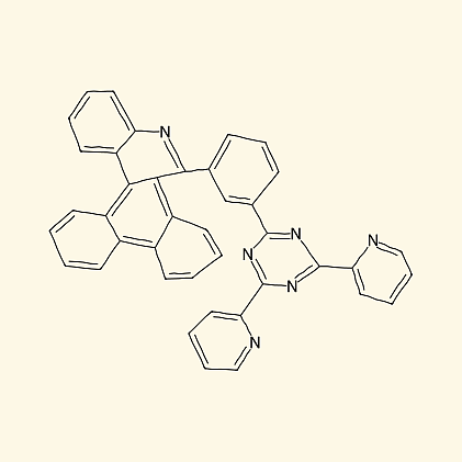 c1ccc(-c2nc(-c3cccc(-c4nc5ccccc5c5c6ccccc6c6ccccc6c45)c3)nc(-c3ccccn3)n2)nc1